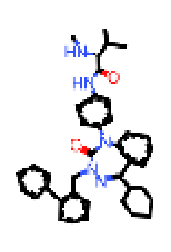 CN[C@H](C(=O)Nc1ccc(N2C(=O)N(Cc3ccccc3-c3ccccc3)N=C(C3CCCCC3)c3ccccc32)cc1)C(C)C